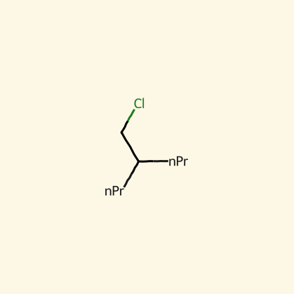 CCCC(CCl)CCC